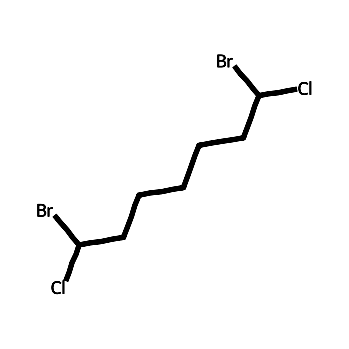 ClC(Br)CCCCCC(Cl)Br